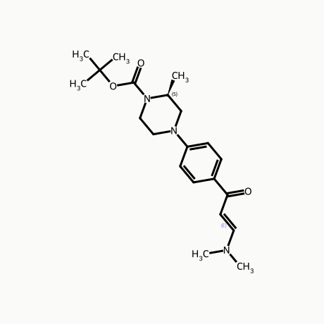 C[C@H]1CN(c2ccc(C(=O)/C=C/N(C)C)cc2)CCN1C(=O)OC(C)(C)C